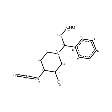 [N-]=[N+]=NC1CCN(C(OC=O)c2ccccc2)CC1O